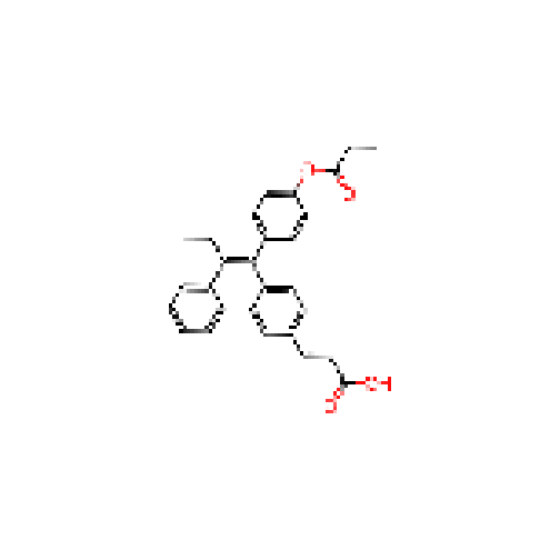 CCC(=O)Oc1ccc(/C(=C(\CC)c2ccccc2)c2ccc(/C=C/C(=O)O)cc2)cc1